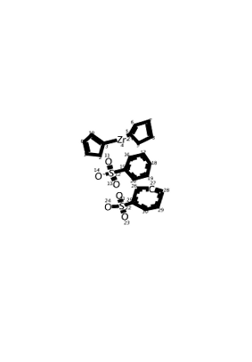 C1=CC[C]([Zr+2][C]2=CC=CC2)=C1.O=S(=O)([O-])c1ccccc1.O=S(=O)([O-])c1ccccc1